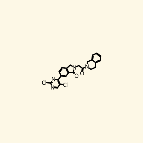 O=C(CN1Cc2ccc(-c3nc(Cl)ncc3Cl)cc2C1=O)N1CCc2ccccc2C1